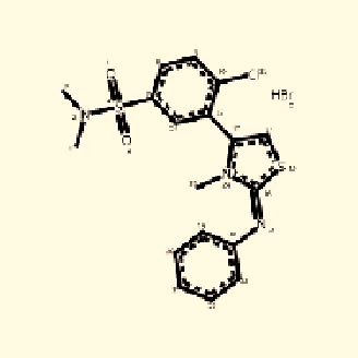 Br.CN(C)S(=O)(=O)c1ccc(Cl)c(-c2csc(=Nc3ccccc3)n2C)c1